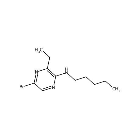 CCCCCNc1ncc(Br)nc1CC